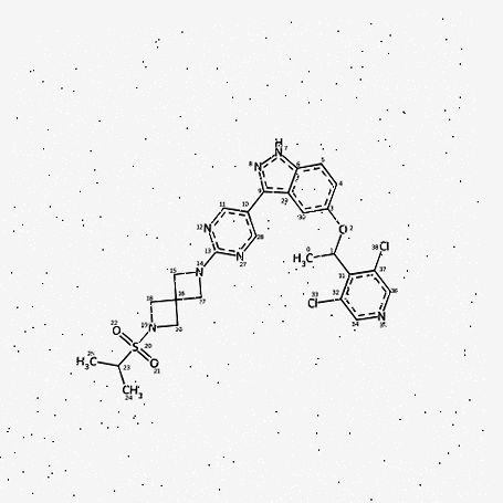 CC(Oc1ccc2[nH]nc(-c3cnc(N4CC5(C4)CN(S(=O)(=O)C(C)C)C5)nc3)c2c1)c1c(Cl)cncc1Cl